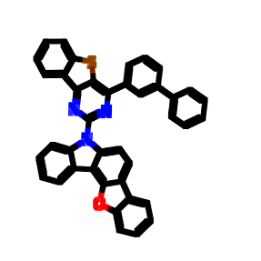 c1ccc(-c2cccc(-c3nc(-n4c5ccccc5c5c6oc7ccccc7c6ccc54)nc4c3sc3ccccc34)c2)cc1